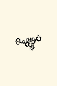 COc1c(OCC2CCCCO2)ccc2c1N=C(C=C(O)c1cccnc1)N1CCN=C21